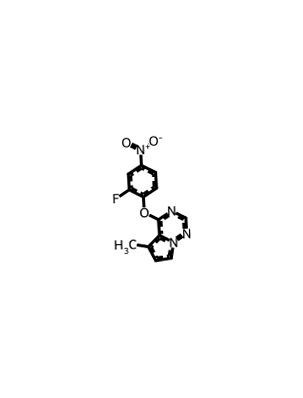 Cc1ccn2ncnc(Oc3ccc([N+](=O)[O-])cc3F)c12